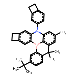 Cc1cc2c3c(c1)C(C)(C)c1ccc(C(C)(C)C)cc1B3c1cc3c(cc1N2c1ccc2c(c1)CC2)CC3